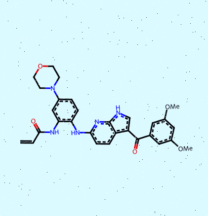 C=CC(=O)Nc1cc(N2CCOCC2)ccc1Nc1ccc2c(C(=O)c3cc(OC)cc(OC)c3)c[nH]c2n1